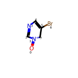 O=[N+]1C=NC=C(Br)C1